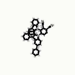 N#Cc1ccc(-n2c3ccc(-c4ccccc4)cc3c3c4ccccc4ccc32)c(-n2c3ccccc3c3ccccc32)c1C#N